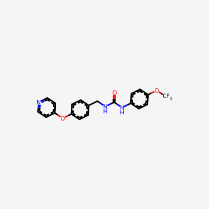 O=C(NCc1ccc(Oc2ccncc2)cc1)Nc1ccc(OC(F)(F)F)cc1